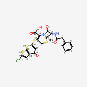 O=C(Cc1ccccc1)NC1C(=O)N2C(C(=O)O)=C(Sc3cc(=O)c4cc(Cl)sc4s3)CS[C@H]12